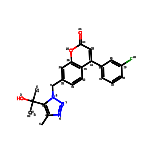 CCC(O)(c1c(C)nnn1Cc1ccc2c(-c3cccc(F)c3)cc(=O)oc2c1)C(F)(F)F